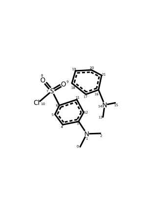 CN(C)c1ccc(S(=O)(=O)Cl)cc1.CN(C)c1ccccc1